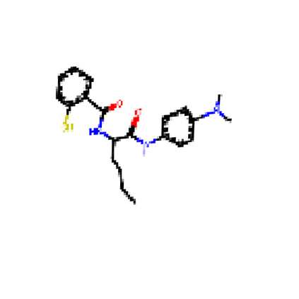 CCCCC(NC(=O)c1ccccc1S)C(=O)Nc1ccc(N(C)C)cc1